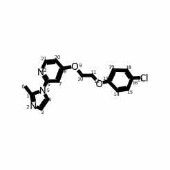 Cc1nccn1-c1cc(OCCOc2ccc(Cl)cc2)ccn1